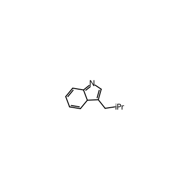 CC(C)CC1=CN=C2C=CC=CC12